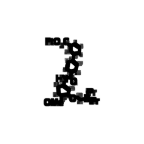 CCOC(=O)c1cccc(-c2ccc(C(=O)Nc3ccc(OC)c(OCCN(C(C)C)C(C)C)c3)cc2)c1